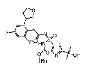 CC(C)c1cc(F)cc(C2CCOC2)c1CC(=O)N=S(=O)(NC(=O)OC(C)(C)C)c1cnc(C(C)(C)O)s1